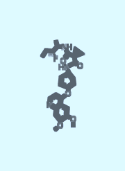 CC[C@@H](F)C(C)NC(=O)C1(C(=O)Nc2ccc(Oc3ccnc4cc(OC)c(OC)cc34)cc2)CC1